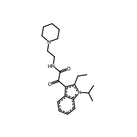 CCc1c(C(=O)C(=O)NCCN2CCCCC2)c2ccccc2n1C(C)C